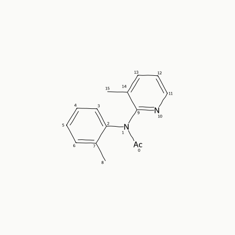 CC(=O)N(c1ccccc1C)c1ncccc1C